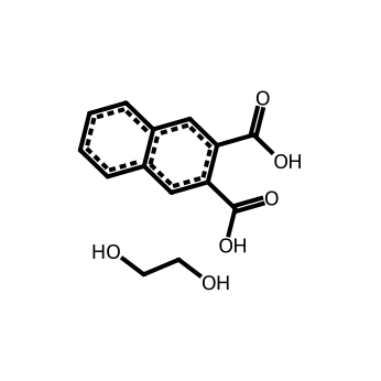 O=C(O)c1cc2ccccc2cc1C(=O)O.OCCO